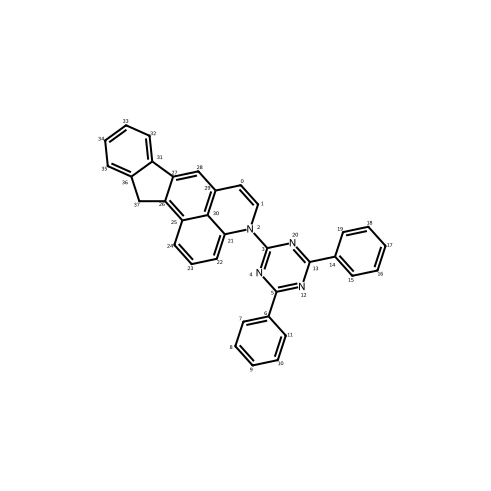 C1=CN(c2nc(-c3ccccc3)nc(-c3ccccc3)n2)c2cccc3c4c(cc1c23)-c1ccccc1C4